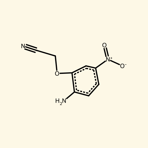 N#CCOc1cc([N+](=O)[O-])ccc1N